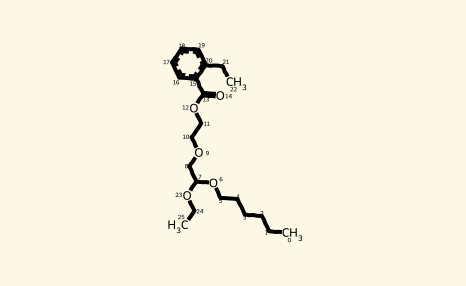 CCCCCCOC(COCCOC(=O)c1ccccc1CC)OCC